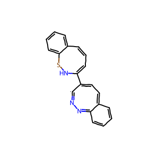 [C]1=N\N=c2\cccc\c2=C\C=C/1c1cccc2ccccc2s[nH]1